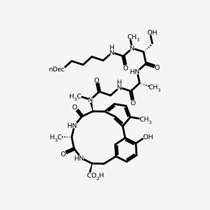 CCCCCCCCCCCCCCNC(=O)N(C)[C@H](CO)C(=O)N[C@H](C)C(=O)NCC(=O)N(C)[C@@H]1C(=O)N[C@@H](C)C(=O)N[C@H](C(=O)O)Cc2ccc(O)c(c2)-c2cc1ccc2C